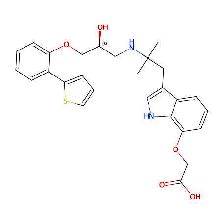 CC(C)(Cc1c[nH]c2c(OCC(=O)O)cccc12)NC[C@H](O)COc1ccccc1-c1cccs1